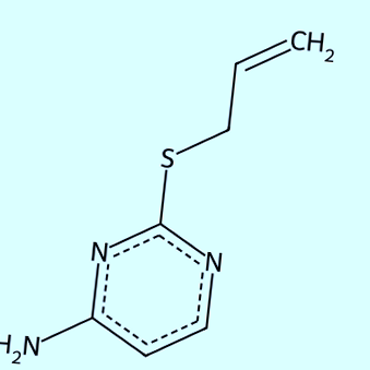 C=CCSc1nccc(N)n1